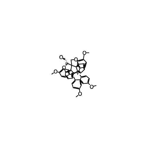 COc1ccc(P(c2ccc(OC)cc2)c2cccc3c2C2(CO3)c3c(cccc3P(c3ccc(OC)cc3)c3ccc(OC)cc3)O[C@@H]2C=O)cc1